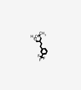 CN(C)CC(C=O)CCc1cccc(C(F)(F)F)c1